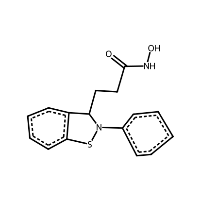 O=C(CCC1c2ccccc2SN1c1ccccc1)NO